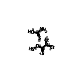 CCN(CC)C(=S)OS.NC(O)=S